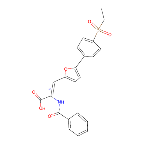 CCS(=O)(=O)c1ccc(-c2ccc(/C=C(\NC(=O)c3ccccc3)C(=O)O)o2)cc1